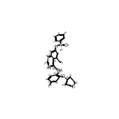 Cc1cc(N=[S@](C)(=O)c2ccccc2)cc2ncnc(Nc3ccc(F)cc3O[C@H]3CCOC3)c12